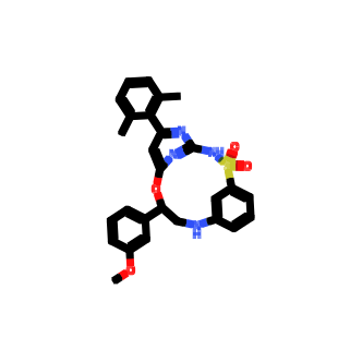 COc1cccc(C2CNc3cccc(c3)S(=O)(=O)Nc3nc(cc(-c4c(C)cccc4C)n3)O2)c1